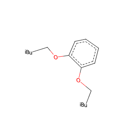 CCC(C)COc1ccccc1OCC(C)CC